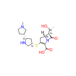 C[C@@H](O)[C@H]1C(=O)N2C(C(=O)O)=C(S[C@@H]3CN[C@H](C4CCN(C)C4)C3)C[C@H]12